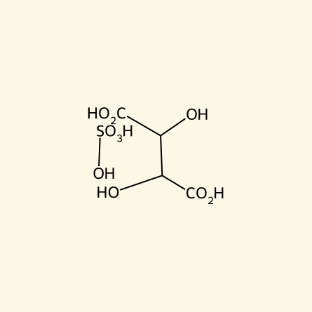 O=C(O)C(O)C(O)C(=O)O.O=S(=O)(O)O